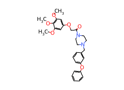 COc1cc(OCC(=O)N2CCN(Cc3cccc(Oc4ccccc4)c3)CC2)cc(OC)c1OC